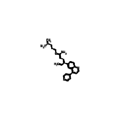 C=C/C(=C\C=C(/N)OCCCN(C)C)c1ccc2nccc(-c3ccncc3)c2c1